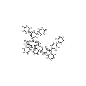 c1ccc(-c2ccc(-n3c4ccccc4c4cc(-c5ccc6c(c5)[Si]5(c7ccccc7-6)c6ccccc6N(c6cc(-c7ccccc7)cc(-c7ccccc7)n6)c6ccccc65)ccc43)cc2)cc1